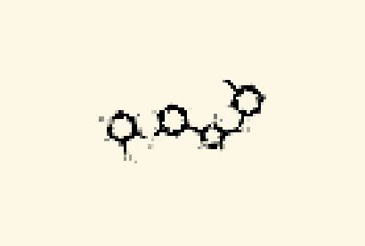 Cc1cccc(Nc2nnc(-c3cccc(Oc4ccncc4C(F)(F)F)c3)[nH]2)c1